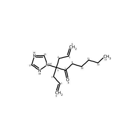 C=CCC(CC=C)(C(=O)CCCCC)n1cncn1